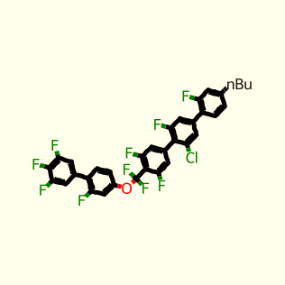 CCCCc1ccc(-c2cc(F)c(-c3cc(F)c(C(F)(F)Oc4ccc(-c5cc(F)c(F)c(F)c5)c(F)c4)c(F)c3)c(Cl)c2)c(F)c1